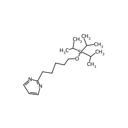 CC(C)[Si](OCCCCCc1ncccn1)(C(C)C)C(C)C